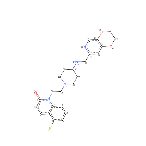 O=c1ccc2c(F)cccc2n1CCN1CCC(NCc2cc3c(cn2)OCCO3)CC1